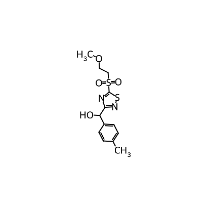 COCCS(=O)(=O)c1nc(C(O)c2ccc(C)cc2)ns1